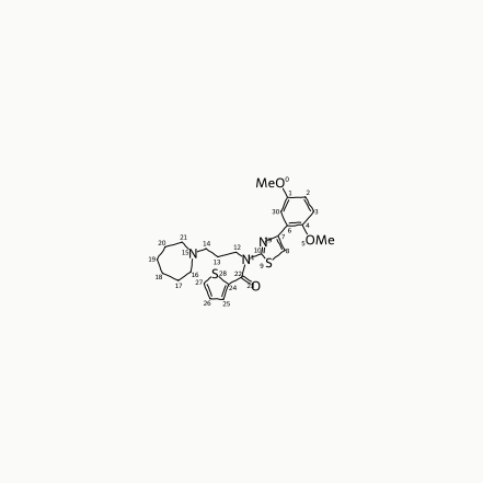 COc1ccc(OC)c(-c2csc(N(CCCN3CCCCCC3)C(=O)c3cccs3)n2)c1